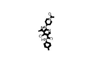 CC(=O)N1CCC(n2nc(C)c3c(Cl)c(C(=O)Nc4ccc(C)cc4)cnc32)CC1